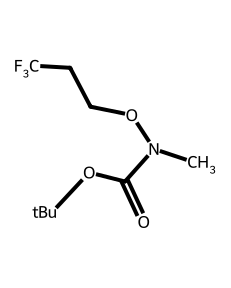 CN(OCCC(F)(F)F)C(=O)OC(C)(C)C